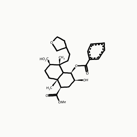 COC(=O)[C@@H]1C[C@H](O)[C@H](OC(=O)c2ccccc2)C2[C@@](C)(CCC3CCOC3)[C@H](C(=O)O)CC[C@]21C